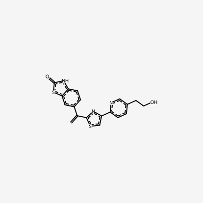 C=C(c1ccc2[nH]c(=O)sc2c1)c1nc(-c2ccc(CCO)cn2)cs1